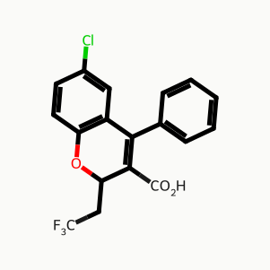 O=C(O)C1=C(c2ccccc2)c2cc(Cl)ccc2OC1CC(F)(F)F